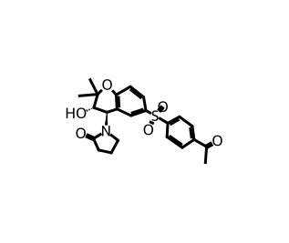 CC(=O)c1ccc(S(=O)(=O)c2ccc3c(c2)[C@@H](N2CCCC2=O)[C@H](O)C(C)(C)O3)cc1